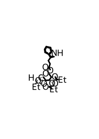 CCC(=O)O[C@@H]1[C@H](OC(=O)CC)[C@H](C)OC(OC(=O)CCc2c[nH]c3ccccc23)[C@H]1OC(=O)CC